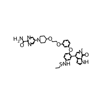 CCSNc1ccc(Oc2cccc(OCCOC3CCN(c4cnc(C(N)=O)nc4)CC3)c2)c(-c2cn(C)c(=O)c3[nH]ccc23)c1